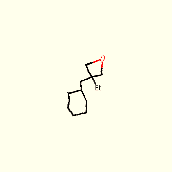 CCC1(CC2CCCCC2)COC1